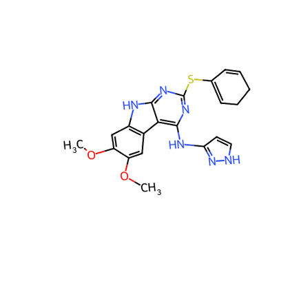 COc1cc2[nH]c3nc(SC4=CCCC=C4)nc(Nc4cc[nH]n4)c3c2cc1OC